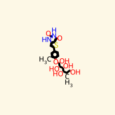 Cc1cc(-c2cc3[nH]c(=O)[nH]c(=O)c3s2)ccc1OC(O)C(O)C(O)C(O)C(C)CO